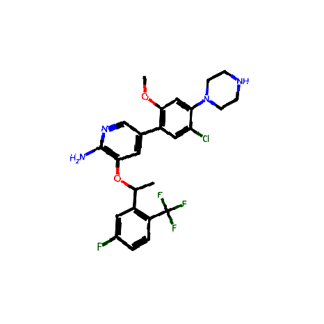 COc1cc(N2CCNCC2)c(Cl)cc1-c1cnc(N)c(OC(C)c2cc(F)ccc2C(F)(F)F)c1